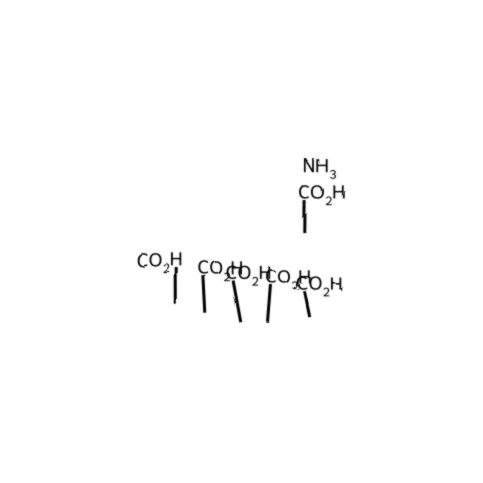 CC(=O)O.CC(=O)O.CC(=O)O.CC(=O)O.CC(=O)O.CC(=O)O.N